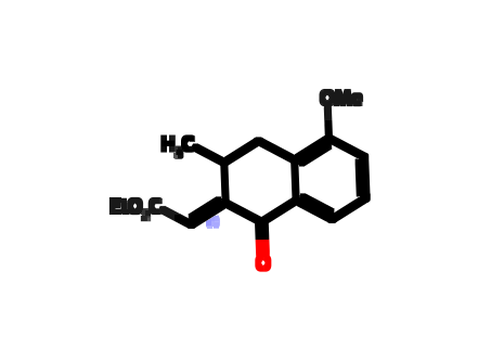 CCOC(=O)/C=C1/C(=O)c2cccc(OC)c2CC1C